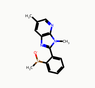 Cc1cnc2c(c1)nc(-c1ccccc1[S+](C)[O-])n2C